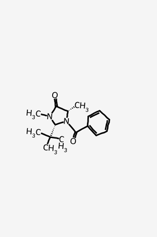 C[C@H]1C(=O)N(C)[C@@H](C(C)(C)C)N1C(=O)c1ccccc1